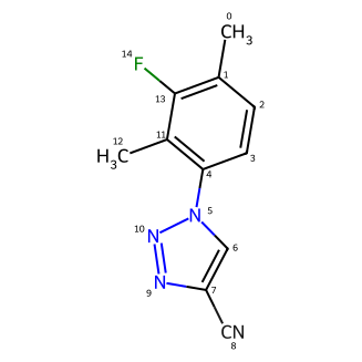 Cc1ccc(-n2cc(C#N)nn2)c(C)c1F